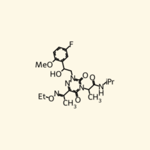 CCO/N=C(\C)c1nn(CC(O)c2cc(F)ccc2OC)c(=O)n(C(C)C(=O)NC(C)C)c1=O